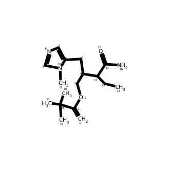 C=C(OCC(Cc1cncn1C)C(CC)C(N)=O)C(C)(C)C